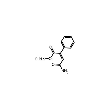 CCCCCCOC(=O)/C(=C\C(N)=O)c1ccccc1